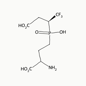 NC(CCP(=O)(O)[C@@H](CC(=O)O)C(F)(F)F)C(=O)O